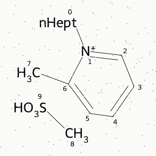 CCCCCCC[n+]1ccccc1C.CS(=O)(=O)O